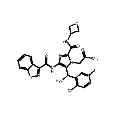 CC(=O)Cn1c(C(=O)NC2COC2)nc(NC(=O)c2nsc3ccccc23)c1[C@H](C)c1cc(F)ccc1Cl